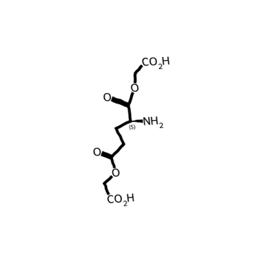 N[C@@H](CCC(=O)OCC(=O)O)C(=O)OCC(=O)O